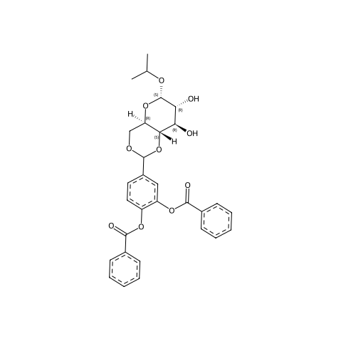 CC(C)O[C@H]1O[C@@H]2COC(c3ccc(OC(=O)c4ccccc4)c(OC(=O)c4ccccc4)c3)O[C@H]2[C@H](O)[C@H]1O